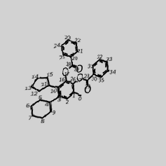 Cc1cc(C2CCCCC2)c(C2CCCC2)c(OC(=O)c2ccccc2)c1OC(=O)c1ccccc1